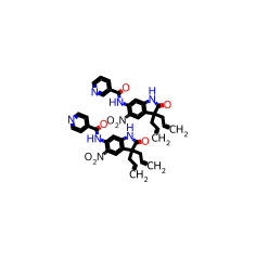 C=CCC1(CC=C)C(=O)Nc2cc(NC(=O)c3cccnc3)c([N+](=O)[O-])cc21.C=CCC1(CC=C)C(=O)Nc2cc(NC(=O)c3ccncc3)c([N+](=O)[O-])cc21